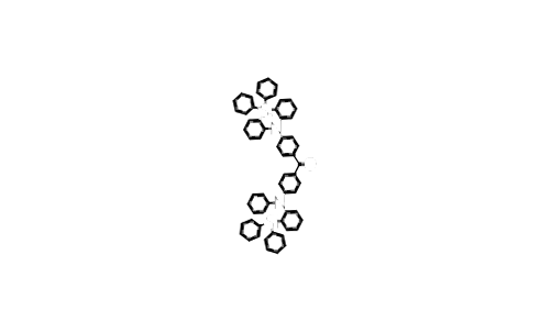 O=C(c1ccc(N2c3ccccc3[Si](c3ccccc3)(c3ccccc3)c3ccccc32)cc1)c1ccc(N2c3ccccc3[Si](c3ccccc3)(c3ccccc3)c3ccccc32)cc1